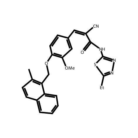 CCc1nnc(NC(=O)C(C#N)=Cc2ccc(OCc3c(C)ccc4ccccc34)c(OC)c2)s1